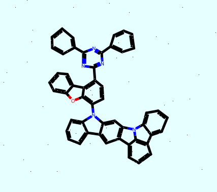 c1ccc(-c2nc(-c3ccccc3)nc(-c3ccc(-n4c5ccccc5c5cc6c7cccc8c9ccccc9n(c6cc54)c87)c4oc5ccccc5c34)n2)cc1